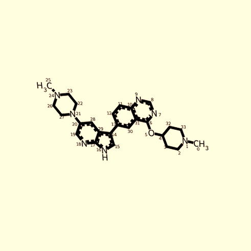 CN1CCC(Oc2ncnc3ccc(-c4c[nH]c5ncc(N6CCN(C)CC6)cc45)cc23)CC1